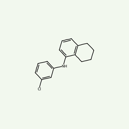 Clc1cccc(Nc2cccc3c2CCCC3)c1